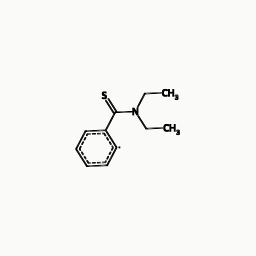 CCN(CC)C(=S)c1[c]cccc1